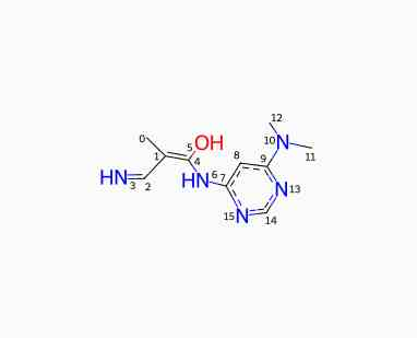 C/C(C=N)=C(\O)Nc1cc(N(C)C)ncn1